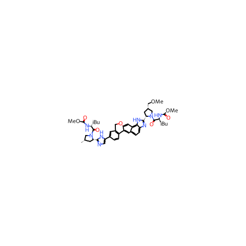 CCC(C)[C@H](NC(=O)OC)C(=O)N1C[C@@H](COC)C[C@H]1c1nc2ccc3cc4c(cc3c2[nH]1)OCc1cc(-c2cnc([C@@H]3C[C@H](C)CN3C(=O)[C@@H](NC(=O)OC)[C@@H](C)CC)[nH]2)ccc1-4